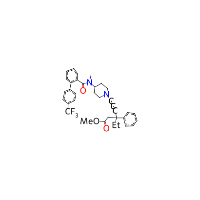 CCC(CCCN1CCC(N(C)C(=O)c2ccccc2-c2ccc(C(F)(F)F)cc2)CC1)(CC(=O)OC)c1ccccc1